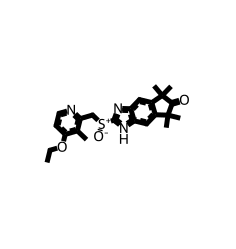 CCOc1ccnc(C[S+]([O-])c2nc3cc4c(cc3[nH]2)C(C)(C)C(=O)C4(C)C)c1C